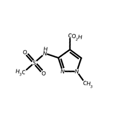 Cn1cc(C(=O)O)c(NS(C)(=O)=O)n1